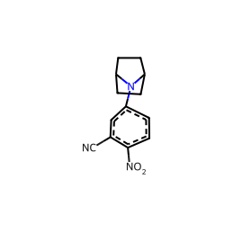 N#Cc1cc(N2C3CCC2CC3)ccc1[N+](=O)[O-]